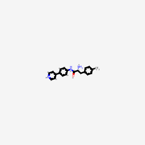 N[C@H](Cc1ccc(C(F)(F)F)cc1)C(=O)Nc1ccc(-c2ccncc2)cc1